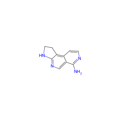 Nc1nccc2c3c(ncc12)NCC3